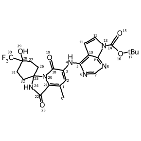 Cc1cc(Nc2ncnc3c2ccn3C(=O)OC(C)(C)C)c(=O)n2c1C(=O)NC21CCC(O)(C(F)(F)F)CC1